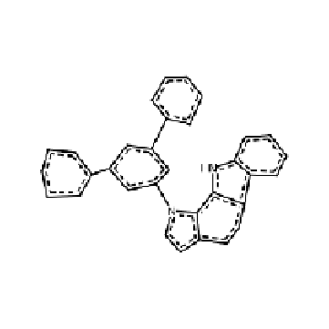 c1ccc(-c2cc(-c3ccccc3)cc(-n3ccc4ccc5c6ccccc6[nH]c5c43)c2)cc1